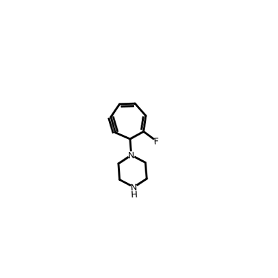 FC1=CC=CC#CC1N1CCNCC1